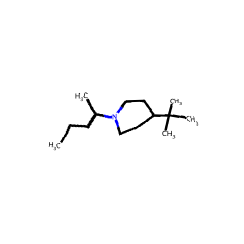 CCCC(C)N1CCC(C(C)(C)C)CC1